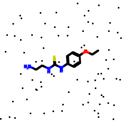 CCOc1ccc(NC(=S)NCCN)cc1